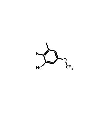 Cc1cc(OC(F)(F)F)cc(O)c1I